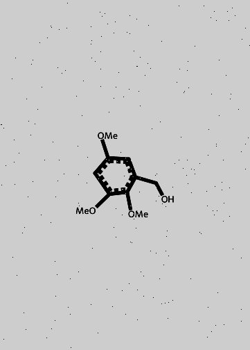 COc1cc(CO)c(OC)c(OC)c1